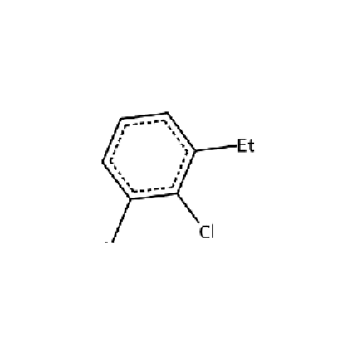 [CH2]c1cccc(CC)c1Cl